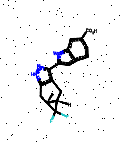 C[C@@]12Cc3[nH]nc(-c4cc5ccc(C(=O)O)cc5[nH]4)c3C[C@@H]1C2(F)F